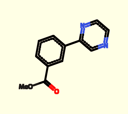 COC(=O)c1cccc(-c2cnccn2)c1